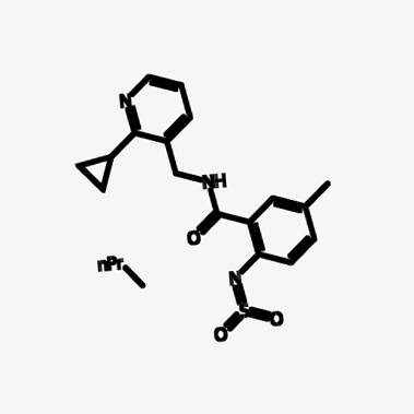 CCCC.Cc1ccc(N=S(=O)=O)c(C(=O)NCc2cccnc2C2CC2)c1